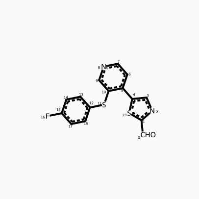 O=Cc1ncc(-c2ccncc2Sc2ccc(F)cc2)s1